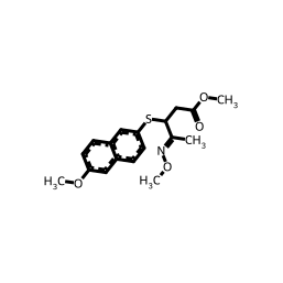 CON=C(C)C(CC(=O)OC)Sc1ccc2cc(OC)ccc2c1